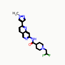 Cn1cc(-c2ccc3cnc(NC(=O)C4CCN(CC(F)F)CC4)cc3n2)cn1